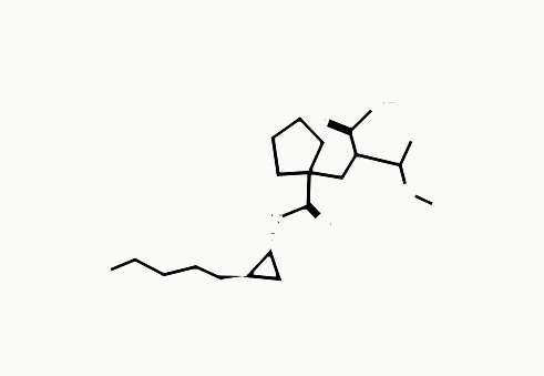 CCCCC[C@@H]1C[C@H]1NC(=O)C1(CC(C(=O)O)C(C)OC)CCCC1